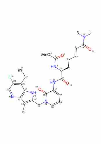 COC(=O)N[C@@H](CC/C=C/C(=O)N(C)C)C(=O)Nc1cccn(Cc2[nH]c3c(CC(C)C)c(F)cnc3c2C)c1=O